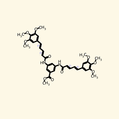 COC(=O)c1cc(NC(=O)/C=C/C=C/c2cc(OC)c(OC)c(OC)c2)cc(NC(=O)/C=C/C=C/c2cc(OC)c(OC)c(OC)c2)c1